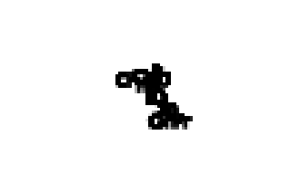 CCCc1ccccc1C(=O)c1ccc(NC(=O)C2(c3ccc(Cl)cc3)CC2)nc1